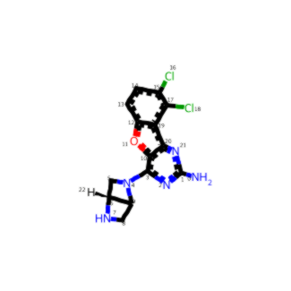 Nc1nc(N2C[C@H]3NCC32)c2oc3ccc(Cl)c(Cl)c3c2n1